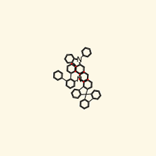 c1ccc(-c2ccccc2-c2c(-c3ccccc3)cccc2N(c2ccc3c(c2)c2ccccc2n3-c2ccccc2)c2cccc3c2-c2ccccc2C32c3ccccc3-c3ccccc32)cc1